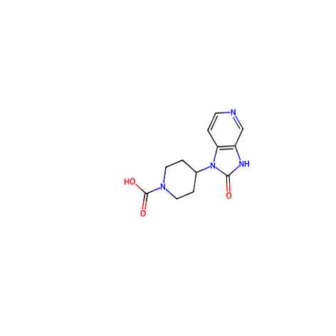 O=C(O)N1CCC(n2c(=O)[nH]c3cnccc32)CC1